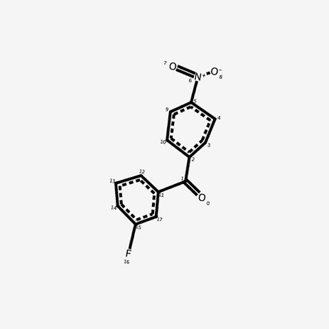 O=C(c1ccc([N+](=O)[O-])cc1)c1cccc(F)c1